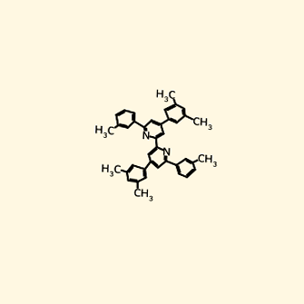 Cc1cc(C)cc(-c2cc(-c3cccc(C)c3)nc(-c3cc(-c4cc(C)cc(C)c4)cc(-c4cccc(C)c4)n3)c2)c1